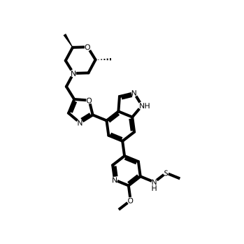 COc1ncc(-c2cc(-c3ncc(CN4C[C@@H](C)O[C@H](C)C4)o3)c3cn[nH]c3c2)cc1NSC